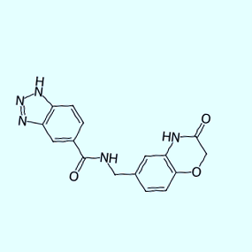 O=C1COc2ccc(CNC(=O)c3ccc4[nH]nnc4c3)cc2N1